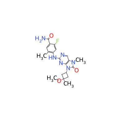 COC1(C)CC(n2c(=O)n(C)c3cnc(Nc4cc(F)c(C(N)=O)cc4C)nc32)C1